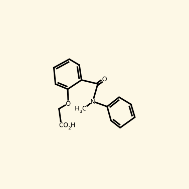 CN(C(=O)c1ccccc1OCC(=O)O)c1ccccc1